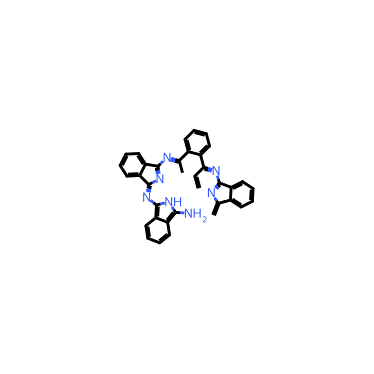 C=C/C(=N\C1=NC(=C)c2ccccc21)c1ccccc1/C(C)=N/C1=NC(=N\c2[nH]c(N)c3ccccc23)/c2ccccc21